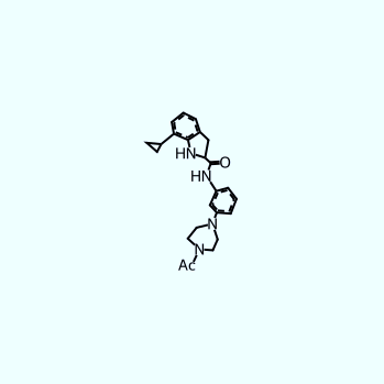 CC(=O)N1CCN(c2cccc(NC(=O)C3Cc4cccc(C5CC5)c4N3)c2)CC1